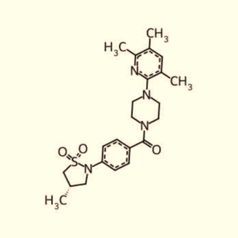 Cc1cc(C)c(N2CCN(C(=O)c3ccc(N4C[C@H](C)CS4(=O)=O)cc3)CC2)nc1C